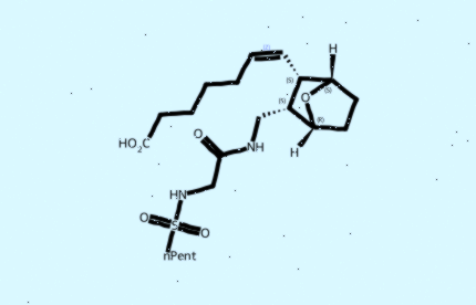 CCCCCS(=O)(=O)NCC(=O)NC[C@@H]1[C@H](/C=C\CCCCC(=O)O)[C@@H]2CC[C@H]1O2